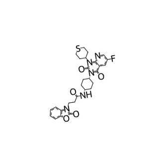 O=C(CCn1c(=O)oc2ccccc21)N[C@H]1CC[C@@H](n2c(=O)c3cc(F)cnc3n(C3CCSCC3)c2=O)CC1